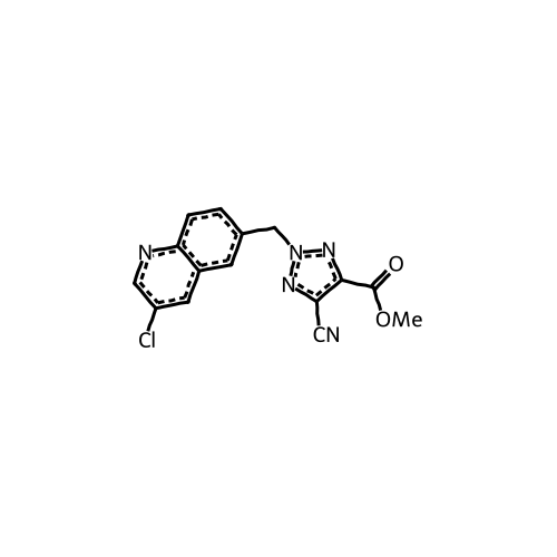 COC(=O)c1nn(Cc2ccc3ncc(Cl)cc3c2)nc1C#N